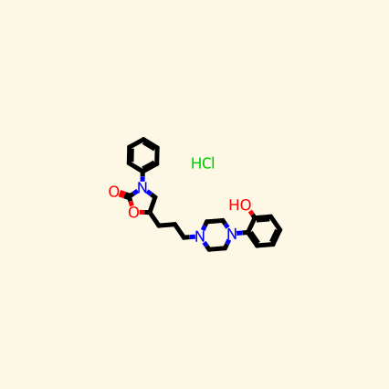 Cl.O=C1OC(CCCN2CCN(c3ccccc3O)CC2)CN1c1ccccc1